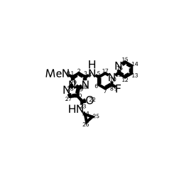 CNc1cc(NC2=CC=C(F)N(c3ccccn3)C2)nc2c(C(=O)NC3CC3)cnn12